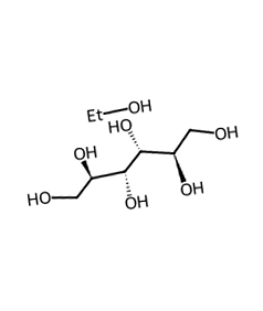 CCO.OC[C@@H](O)[C@@H](O)[C@H](O)[C@H](O)CO